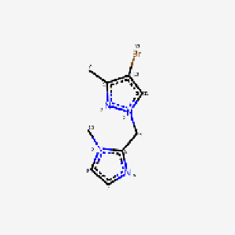 Cc1nn(Cc2nccn2C)cc1Br